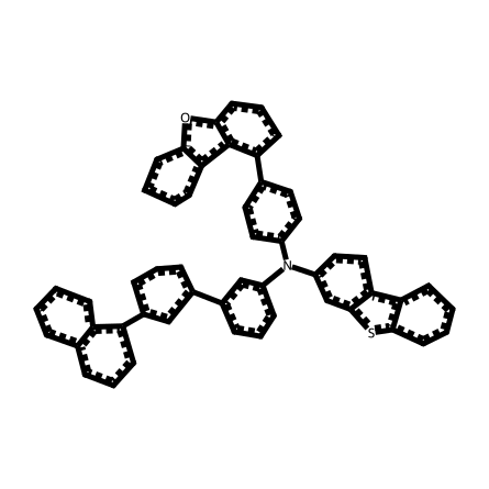 c1cc(-c2cccc(N(c3ccc(-c4cccc5oc6ccccc6c45)cc3)c3ccc4c(c3)sc3ccccc34)c2)cc(-c2cccc3ccccc23)c1